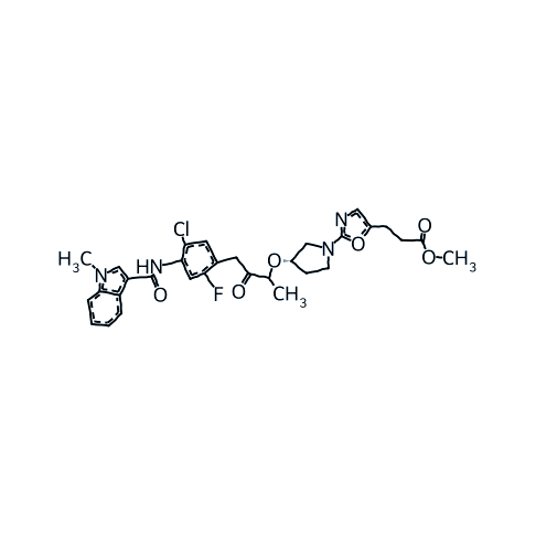 COC(=O)CCc1cnc(N2CC[C@H](OC(C)C(=O)Cc3cc(Cl)c(NC(=O)c4cn(C)c5ccccc45)cc3F)C2)o1